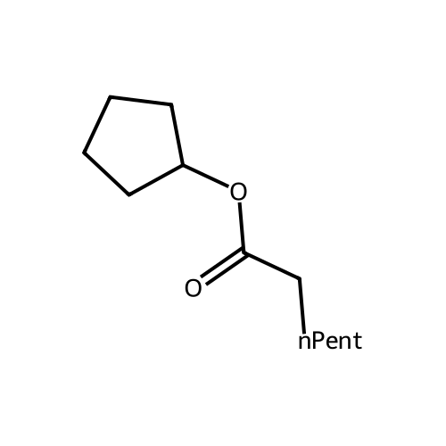 [CH2]CCCCCC(=O)OC1CCCC1